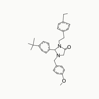 CCc1ccc(CCN2C(=O)CN(Cc3ccc(OC)cc3)C2c2ccc(C(C)(C)C)cc2)cc1